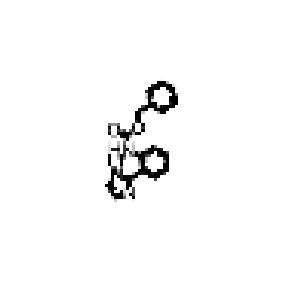 CCn1ccnc1-c1ccccc1NC(=O)OCc1ccccc1